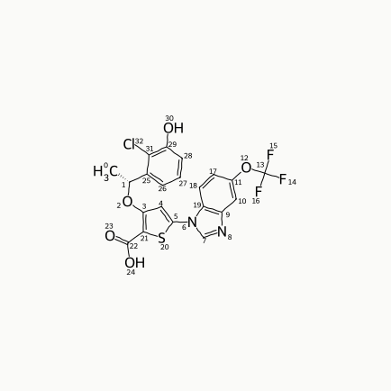 C[C@@H](Oc1cc(-n2cnc3cc(OC(F)(F)F)ccc32)sc1C(=O)O)c1cccc(O)c1Cl